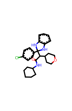 O=C(NC1CCCCC1)C(C1CCOCC1)C1(c2ccc(Cl)cc2)Nc2ccccc2N1